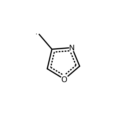 [CH2]c1cocn1